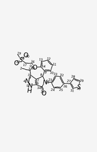 CC(C)c1n[nH]c2c1C(c1ccccc1OCCS(C)(=O)=O)N(c1ccc(-c3ccsc3)cc1)C2=O